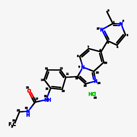 Cc1nccc(-c2ccn3c(-c4cccc(NC(=O)NCC(F)(F)F)c4)cnc3c2)n1.Cl